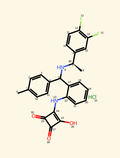 Cc1ccc(C(N[C@H](C)c2ccc(F)c(F)c2)c2ccccc2Nc2c(O)c(=O)c2=O)cc1.Cl